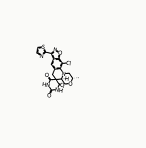 C[C@H]1CN2c3c(cc4c(-c5nccs5)noc4c3Cl)CC3(C(=O)NC(=O)NC3=O)[C@@H]2[C@@H](C)O1